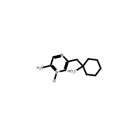 Nc1cnc(CC2(C(=O)O)CCCCC2)c[n+]1[O-]